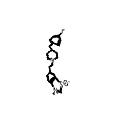 CN1C[S+]([O-])c2cc(CCN3CCC(Cc4ccc(F)cc4)CC3)ccc21